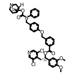 COc1ccc([C@H](Cc2c(Cl)cncc2Cl)OC(=O)c2cccc(COc3ccc(CN(C(=O)O[C@H]4CN5CCC4CC5)c4ccccc4)cc3)c2)cc1OC